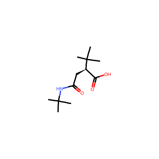 CC(C)(C)NC(=O)C[C@H](C(=O)O)C(C)(C)C